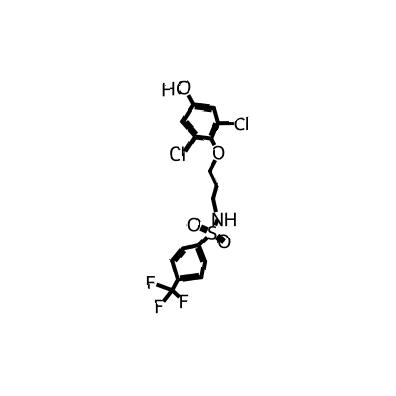 O=S(=O)(NCCCOc1c(Cl)cc(O)cc1Cl)c1ccc(C(F)(F)F)cc1